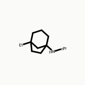 CCCNC12CCCC(CC)(CC1)C2